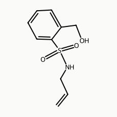 C=CCNS(=O)(=O)c1ccccc1CO